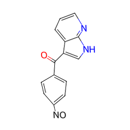 O=Nc1ccc(C(=O)c2c[nH]c3ncccc23)cc1